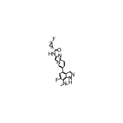 CN(C)c1c(F)cc(-c2ccc3nc(NC(=O)[C@@H]4C[C@@H]4F)cn3c2)c2cn[nH]c12